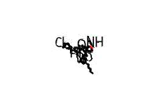 CCCCCc1cc(C)nc(NC(=O)[C@@H]2c3ccccc3C(=O)N2C2CCN(Cc3ccc(Cl)c(C)c3)CC2)c1.CNC